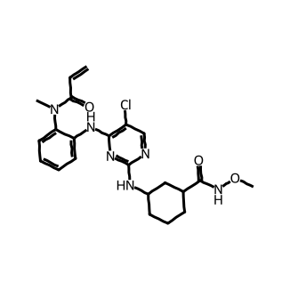 C=CC(=O)N(C)c1ccccc1Nc1nc(NC2CCCC(C(=O)NOC)C2)ncc1Cl